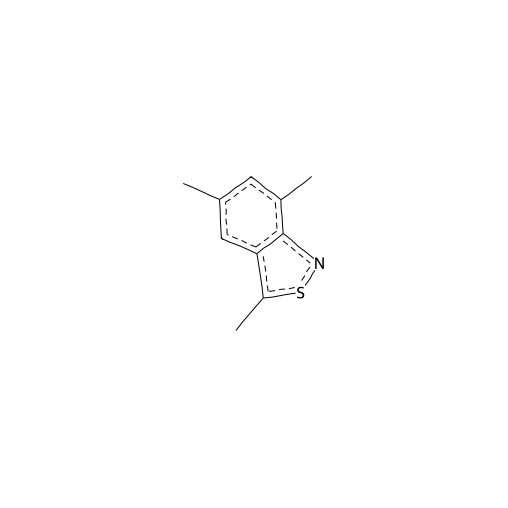 Cc1cc(C)c2nsc(C)c2c1